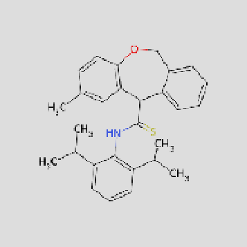 Cc1ccc2c(c1)C(C(=S)Nc1c(C(C)C)cccc1C(C)C)c1ccccc1CO2